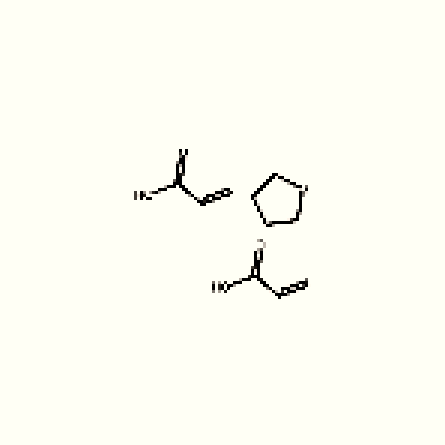 C1CCOC1.C=CC(=O)O.C=CC(=O)O